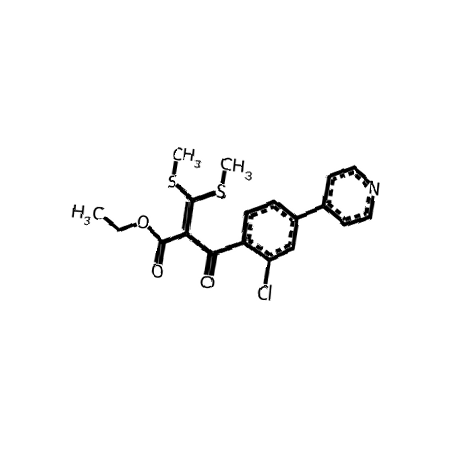 CCOC(=O)C(C(=O)c1ccc(-c2ccncc2)cc1Cl)=C(SC)SC